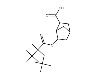 CC(C)(C)CC(C)(C(=O)OC1CC2CC(C(=O)O)C1C2)C(C)(C)C